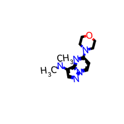 CN(C)c1cnn2ccc(N3CCOCC3)nc12